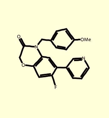 COc1ccc(CN2C(=O)COc3cc(F)c(-c4cccnc4)cc32)cc1